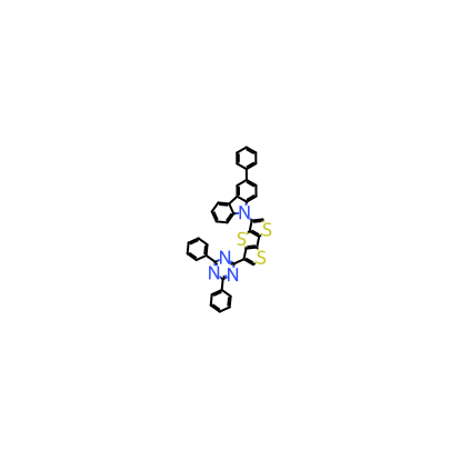 c1ccc(-c2ccc3c(c2)c2ccccc2n3-c2csc3c2sc2c(-c4nc(-c5ccccc5)nc(-c5ccccc5)n4)csc23)cc1